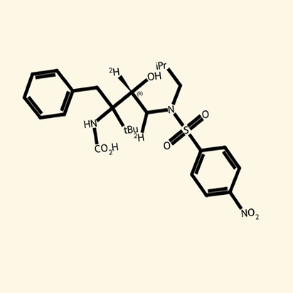 [2H]C(N(CC(C)C)S(=O)(=O)c1ccc([N+](=O)[O-])cc1)[C@@]([2H])(O)C(Cc1ccccc1)(NC(=O)O)C(C)(C)C